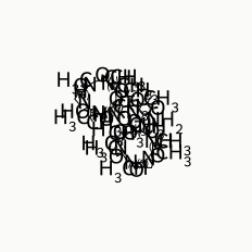 Cc1c2oc3c(C)ccc(C(=O)N[C@@H]4C(=O)N[C@H](C(C)C)C(O)N5CCC[C@H]5C(=O)N(C)CC(=O)N(C)[C@@H](C(C)C)C(=O)O[C@H]4C)c3nc-2c(C(=O)N[C@@H]2C(=O)N[C@H](C(C)C)C(=O)N3CCC[C@H]3C(=O)N(C)CC(=O)N(C)[C@@H](C(C)C)C(=O)O[C@H]2C)c(N)c1=O